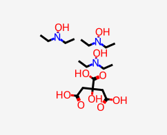 CCN(O)CC.CCN(O)CC.CCN(O)CC.O=C(O)CC(O)(CC(=O)O)C(=O)O